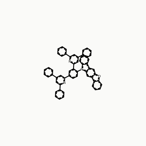 c1ccc(-c2cc(-c3ccccc3)nc(-c3ccc(-n4c5ccccc5c5cc6oc7ccccc7c6cc54)c(-c4cc(-c5ccccc5)cc(-c5ccccc5)n4)c3)c2)cc1